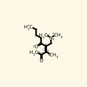 CCCCC(=O)/C(CN(C)C)=C(/C)C(C)=O